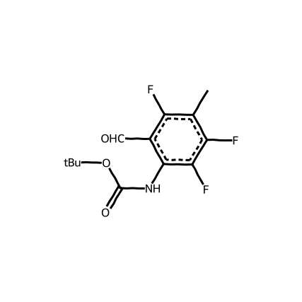 Cc1c(F)c(F)c(NC(=O)OC(C)(C)C)c(C=O)c1F